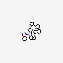 c1ccc(-c2ccccc2N(c2ccccc2)c2ccc3c(c2)C2(c4ccccc4-c4ccccc4-3)c3ccccc3-c3c2ccc2ccccc32)cc1